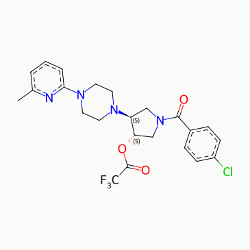 Cc1cccc(N2CCN([C@H]3CN(C(=O)c4ccc(Cl)cc4)C[C@@H]3OC(=O)C(F)(F)F)CC2)n1